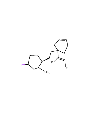 CC/C=C(\CCC)C1(CC[C@@H]2CCC(I)CC2C)CC=CCC1